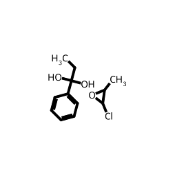 CC1OC1Cl.CCC(O)(O)c1ccccc1